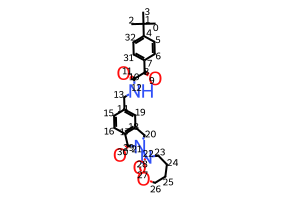 CC(C)(C)c1ccc(C(=O)C(=O)NCc2ccc3c(c2)CN(N2CCCCOO2)C3=O)cc1